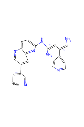 CN/C=C(\C=N)c1cnc2ccc(N/C(N)=C/C(=C\N)c3ccncc3)nc2c1